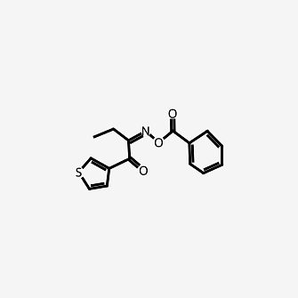 CCC(=NOC(=O)c1ccccc1)C(=O)c1ccsc1